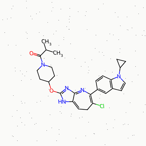 CC(C)C(=O)N1CCC(Oc2nc3c([nH]2)=CCC(Cl)=C(c2ccc4c(ccn4C4CC4)c2)N=3)CC1